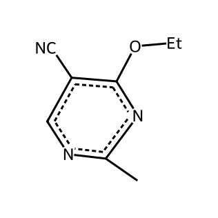 CCOc1nc(C)ncc1C#N